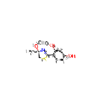 C[C@]1(OC=O)CSC(c2ccc(O)cc2O)=N1